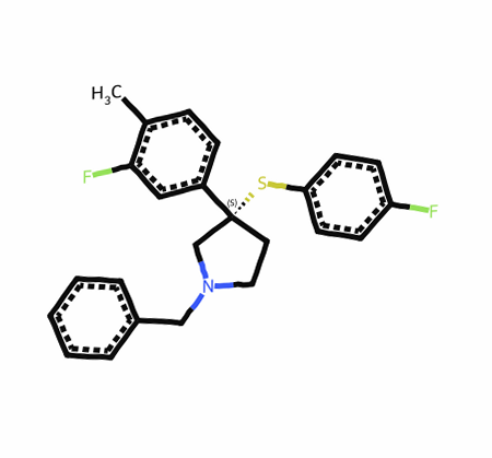 Cc1ccc([C@@]2(Sc3ccc(F)cc3)CCN(Cc3ccccc3)C2)cc1F